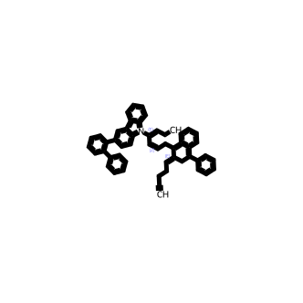 C#CCC/C=C1\CC(c2ccccc2)=c2ccccc2=C1C/C=C\C(=C/CC)n1c2ccccc2c2cc(-c3ccccc3-c3ccccc3)ccc21